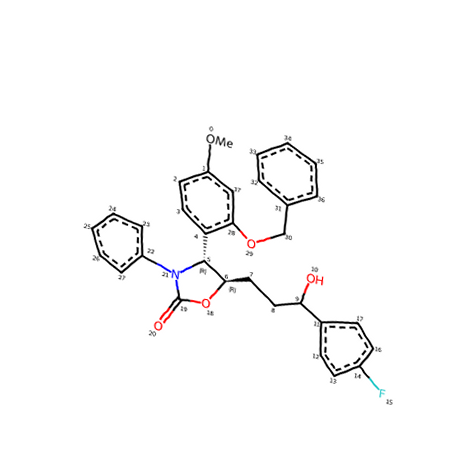 COc1ccc([C@@H]2[C@@H](CCC(O)c3ccc(F)cc3)OC(=O)N2c2ccccc2)c(OCc2ccccc2)c1